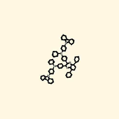 c1ccc(-c2ccc(-c3ccccc3)c3nc(-c4ccc(N(c5ccccc5)c5ccc(-n6c7ccccc7c7ccccc76)cc5)cc4)c(-c4ccc(N(c5ccccc5)c5ccc(-n6c7ccccc7c7ccccc76)cc5)cc4)nc23)cc1